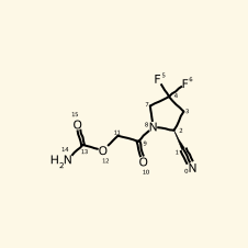 N#C[C@@H]1CC(F)(F)CN1C(=O)COC(N)=O